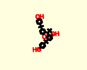 CC(C)(c1ccc(O)cc1)c1ccc(O)c(C(c2cc(C(C)(C)c3ccc(O)cc3)ccc2O)C(C)(C)C)c1